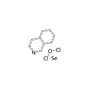 ClOCl.[Se].c1ccc2cnccc2c1